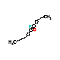 CCCCCCCCCCC1CCC(C2CCC3(CC2)C(=O)C2(CCC(C4CCC(CCCCCC)CC4)CC2)C3F)CC1